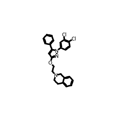 Clc1ccc(-n2nc(OCCN3CCc4ccccc4C3)cc2-c2ccccc2)cc1Cl